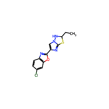 CCC1Nn2cc(-c3nc4ccc(Cl)cc4o3)nc2S1